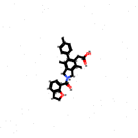 Cc1ccc(-c2c(C)c3c(c(C)c2CC(=O)O)CN(C(=O)c2cccc4c2OCC4)C3)cc1